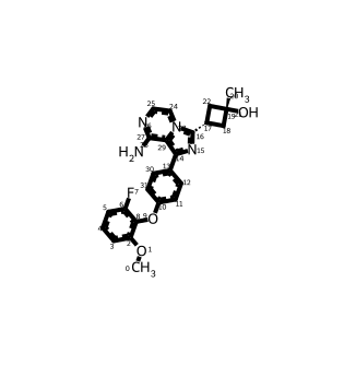 COc1cccc(F)c1Oc1ccc(-c2nc([C@H]3C[C@@](C)(O)C3)n3ccnc(N)c23)cc1